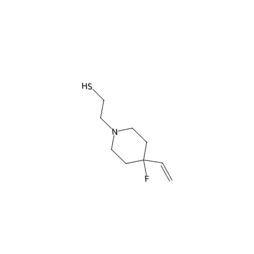 C=CC1(F)CCN(CCS)CC1